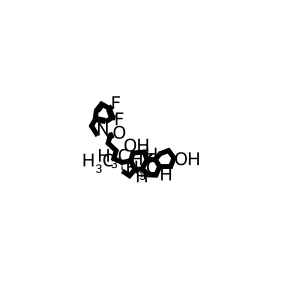 C[C@H](CCC(=O)N1CCc2ccc(F)c(F)c21)[C@H]1CC[C@H]2[C@@H]3CC[C@@H]4C[C@H](O)CC[C@]4(C)[C@H]3C[C@H](O)[C@]12C